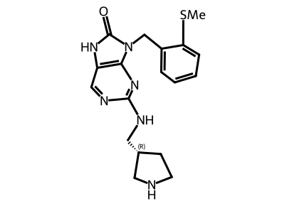 CSc1ccccc1Cn1c(=O)[nH]c2cnc(NC[C@@H]3CCNC3)nc21